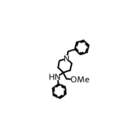 COCC1(Nc2ccccc2)CCN(Cc2ccccc2)CC1